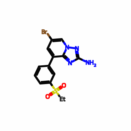 CCS(=O)(=O)c1cccc(-c2cc(Br)cn3nc(N)nc23)c1